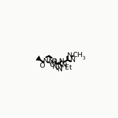 CCn1c(-c2cnc(C)nc2)nc2c(O[N+]3(C)C=CCN(C(=O)C4CC4)C3)ncnc21